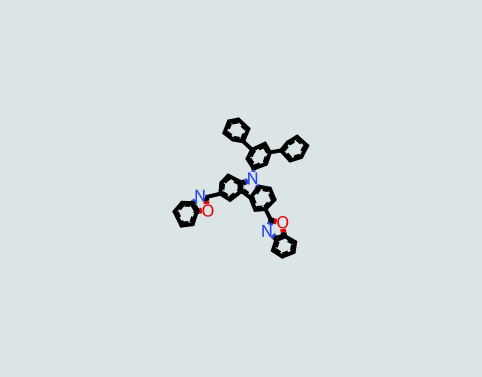 c1ccc(-c2cc(-c3ccccc3)cc(-n3c4ccc(-c5nc6ccccc6o5)cc4c4cc(-c5nc6ccccc6o5)ccc43)c2)cc1